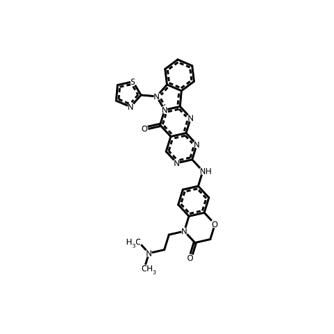 CN(C)CCN1C(=O)COc2cc(Nc3ncc4c(=O)n5c(nc4n3)c3ccccc3n5-c3nccs3)ccc21